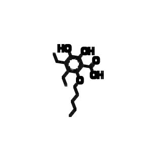 CCCCCOc1c(CC)c(CC)c(O)c(O)c1C(=O)O